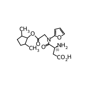 CC1CCC(C)C1OC(=O)CN(C(=O)[C@@H](N)CC(=O)O)c1ccco1